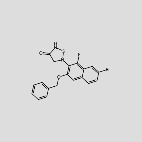 O=C1CN(c2c(OCc3ccccc3)cc3ccc(Br)cc3c2F)SN1